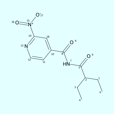 CCC(CC)C(=O)NC(=O)c1ccnc([N+](=O)[O-])c1